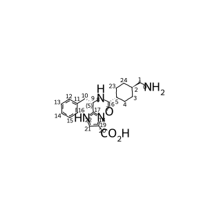 NC[C@H]1CC[C@H](C(=O)N[C@@H](Cc2ccccc2)c2nc(C(=O)O)c[nH]2)CC1